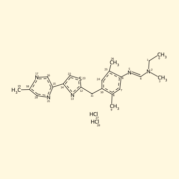 CCN(C)C=Nc1cc(C)c(Cc2nc(-c3cnc(C)cn3)cs2)cc1C.Cl.Cl